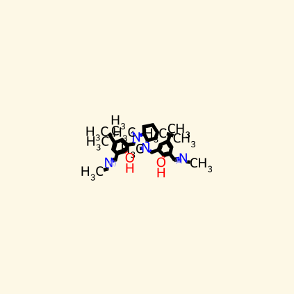 CC/N=C/c1cc(C(C)(C)C)cc(CN(C)C2CCCCC2N(C)Cc2cc(C(C)(C)C)cc(/C=N/CC)c2O)c1O